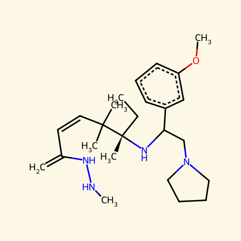 C=C(/C=C\C(C)(C)[C@](C)(CC)NC(CN1CCCC1)c1cccc(OC)c1)NNC